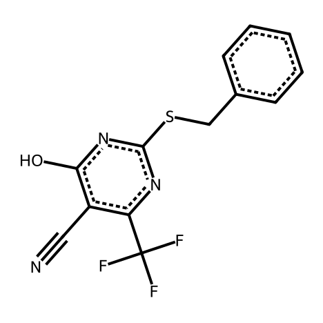 N#Cc1c(O)nc(SCc2ccccc2)nc1C(F)(F)F